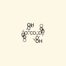 Cc1cc(O)c(C(C)C)cc1C(c1ccc2cc(C(c3cc(C(C)C)c(O)cc3C)c3cc(C(C)C)c(OC(C)OC4CCCCC4)cc3C)ccc2c1)c1cc(C(C)C)c(OC(C)OC2CCCCC2)cc1C